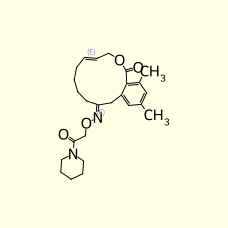 Cc1cc(C)c2c(c1)C/C(=N/OCC(=O)N1CCCCC1)CCCC/C=C/COC2=O